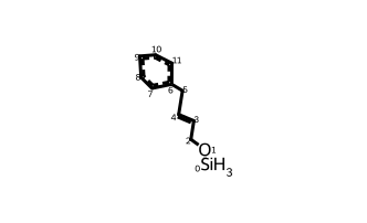 [SiH3]OCC=CCc1ccccc1